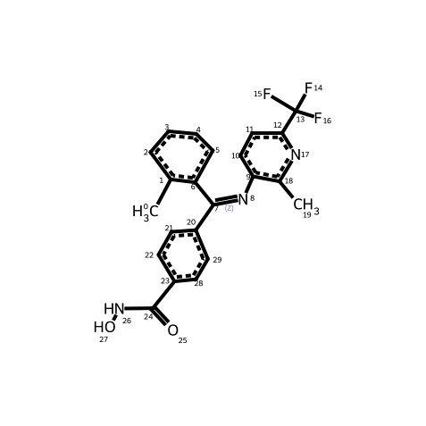 Cc1ccccc1/C(=N\c1ccc(C(F)(F)F)nc1C)c1ccc(C(=O)NO)cc1